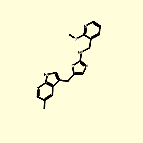 COc1ncccc1CNc1ncc(Cc2c[nH]c3ncc(C)cc23)s1